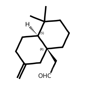 C=C1CC[C@H]2C(C)(C)CCC[C@]2(CC=O)C1